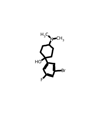 CN(C)C1CCC(O)(c2cc(F)cc(Br)c2)CC1